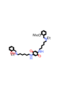 CCN(CCCCCCNC1=CC(=O)C(NCCCCCCN(CC)Cc2ccccc2OC)=CC1=O)Cc1ccccc1O